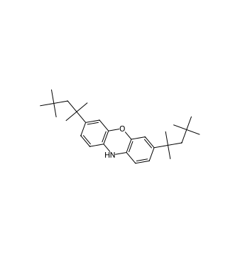 CC(C)(C)CC(C)(C)c1ccc2c(c1)Oc1cc(C(C)(C)CC(C)(C)C)ccc1N2